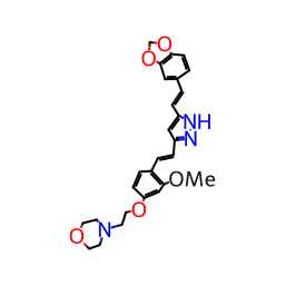 COc1cc(OCCN2CCOCC2)ccc1C=Cc1cc(C=Cc2ccc3c(c2)OCO3)[nH]n1